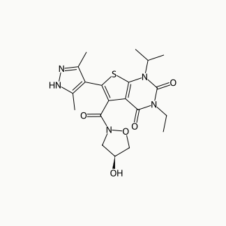 CCn1c(=O)c2c(C(=O)N3C[C@H](O)CO3)c(-c3c(C)n[nH]c3C)sc2n(C(C)C)c1=O